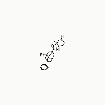 CCC12CC3CC(C(=O)NC4CCNCC4(C)C)(C1)C[C@@](c1ccccc1)(C3)C2